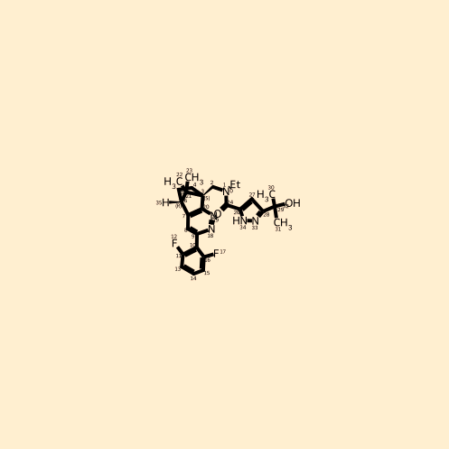 CCN(C[C@@]12CC[C@@H](c3cc(-c4c(F)cccc4F)nnc31)C2(C)C)C(=O)c1cc(C(C)(C)O)n[nH]1